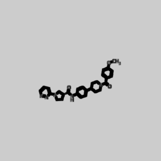 COc1ccc(C(=O)N2CCC(c3ccc(NC(=O)[C@H]4CCN(c5cccnn5)C4)cc3)CC2)cc1